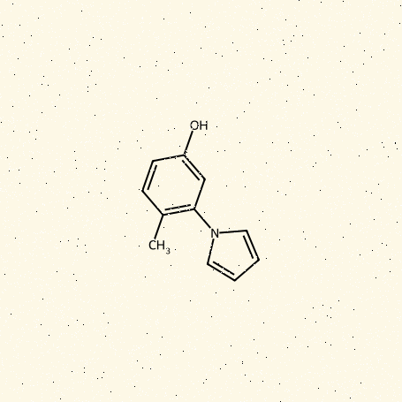 Cc1ccc(O)cc1-n1cccc1